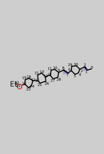 C/C=C/C1CCC(/C=C/C2CCC(C3CCC(C4CCC(OCC)CC4)CC3)CC2)CC1